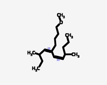 CCCC(C)/C=C\C(=C/C(C)CC)CCCCOC